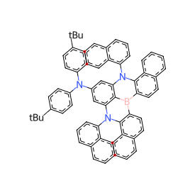 CC(C)(C)c1ccc(N(c2ccc(C(C)(C)C)cc2)c2cc3c4c(c2)N(c2cccc5ccccc25)c2c(ccc5ccccc25)B4c2ccc4ccccc4c2N3c2cccc3ccccc23)cc1